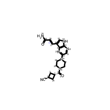 N#C[C@H]1C[C@H](C(=O)N2CCN(c3cnc4[nH]cc(/C=C/C(N)=O)c4n3)CC2)C1